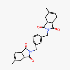 CC1=CCC2C(=O)N(Cc3cccc(CN4C(=O)C5CC=C(C)CC5C4=O)c3)C(=O)C2C1